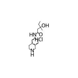 CCC(C)(O)CC(=O)Nc1ccc2c(c1)CCNC2.Cl